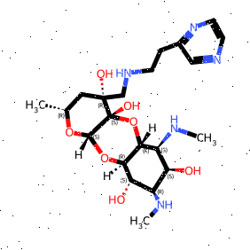 CN[C@@H]1[C@H](O)[C@H](NC)[C@H]2O[C@]3(O)[C@H](O[C@@H]2[C@H]1O)O[C@H](C)C[C@@]3(O)CNCCc1cnccn1